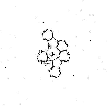 CC1(C)c2ccccc2-c2ccc3ccc4c5ccccc5n(-c5ncccn5)c4c3c21